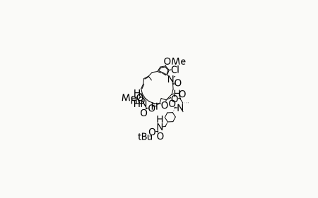 COc1cc2cc(c1Cl)N(C)C(=O)C[C@H](OC(=O)[C@H](C)N(C)C(=O)[C@H]1CC[C@H](CNC(=O)OC(C)(C)C)CC1)[C@@]1(C)CC(C)(O1)[C@@H]1C[C@@](O)(NC(=O)O1)[C@H](OC)/C=C/C=C(\C)C2